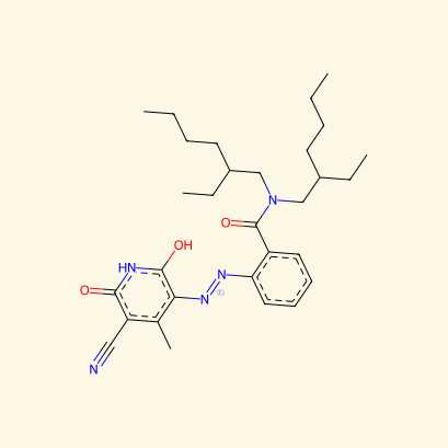 CCCCC(CC)CN(CC(CC)CCCC)C(=O)c1ccccc1/N=N/c1c(O)[nH]c(=O)c(C#N)c1C